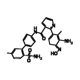 CC1=C(N)C(=NO)CC=C1c1ncccc1C(=O)Nc1ccc(-c2cc(C)ccc2S(N)(=O)=O)cc1